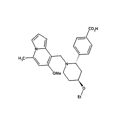 CCO[C@H]1CCN(Cc2c(OC)cc(C)n3cccc23)[C@H](c2ccc(C(=O)O)cc2)C1